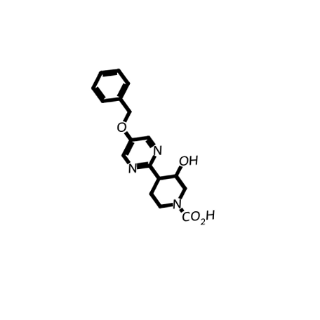 O=C(O)N1CCC(c2ncc(OCc3ccccc3)cn2)C(O)C1